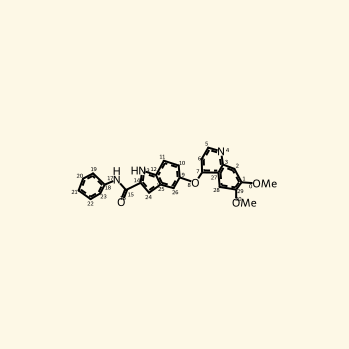 COc1cc2nccc(Oc3ccc4[nH]c(C(=O)Nc5ccccc5)cc4c3)c2cc1OC